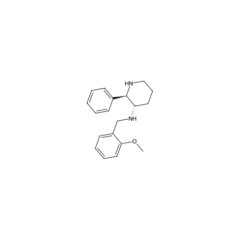 COc1ccccc1CN[C@H]1CCCN[C@@H]1c1ccccc1